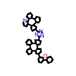 c1ccc2c(c1)-c1ccccc1-c1cc(-c3cccc4c3oc3ccccc34)ccc1-c1ccc(-c3ncnc(-c4ccc5c(c4)-c4ccccc4-c4ccccc4-c4ncccc4-5)n3)cc1-2